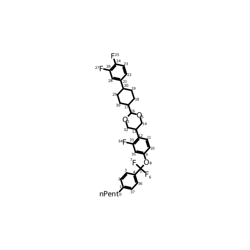 CCCCCc1ccc(C(F)(F)Oc2ccc(C3COC(C4CCC(c5ccc(F)c(F)c5)CC4)OC3)c(F)c2)cc1